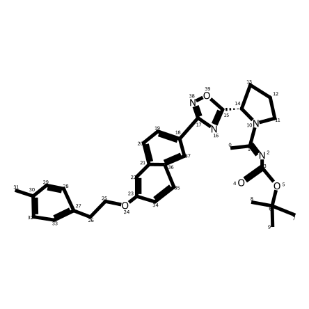 C/C(=N\C(=O)OC(C)(C)C)N1CCC[C@H]1c1nc(-c2ccc3cc(OCCc4ccc(C)cc4)ccc3c2)no1